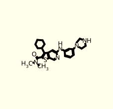 CN(C)C(=O)c1sc2cnc(Nc3cccc(N4CCNCC4)c3)cc2c1C1CCCCC1